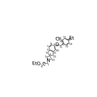 CCOC(=O)CN1CC2(Cc3ccc(OCc4ccc(CC)cc4Cl)cc3C2)C1